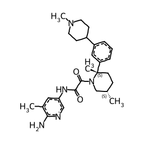 Cc1cc(NC(=O)C(=O)N2C[C@@H](C)CC[C@@]2(C)c2cccc(C3CCN(C)CC3)c2)cnc1N